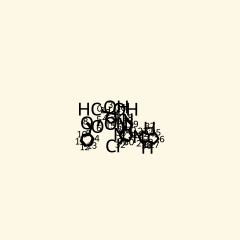 C#C[C@@]1(O)[C@@H](COC(=O)c2ccccc2)OC(n2ncc3c(N4C[C@H]5CCC[C@H]5C4)cc(Cl)nc32)[C@@H]1O